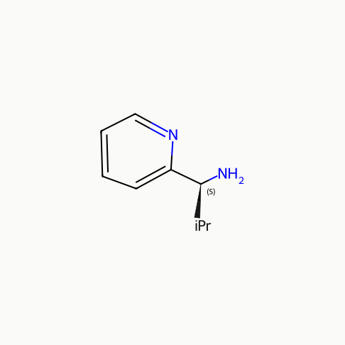 CC(C)[C@H](N)c1ccccn1